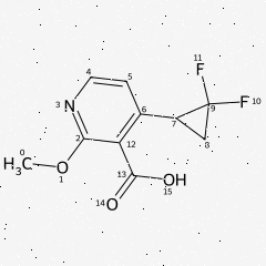 COc1nccc(C2CC2(F)F)c1C(=O)O